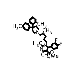 COC(=O)C1=C(C)N=C(C)N(CCC[C@H](C)CN2CCC(c3ccc(C)cc3)(c3ccccc3C)CC2)C1c1ccc(F)c(F)c1